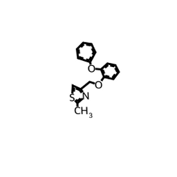 Cc1nc(COc2ccccc2Oc2ccccc2)cs1